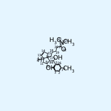 Cc1cccc([C@@H](O)[C@H]2[C@H](O)C[C@H]3C=CC[C@]23CCCCC(=O)N(C)C)c1